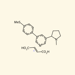 CSc1ccc(-c2cncc(C3CCCN3C)c2)cc1.O=C(O)/C=C/C(=O)O